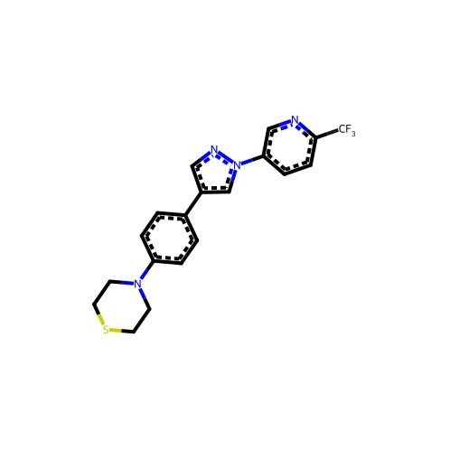 FC(F)(F)c1ccc(-n2cc(-c3ccc(N4CCSCC4)cc3)cn2)cn1